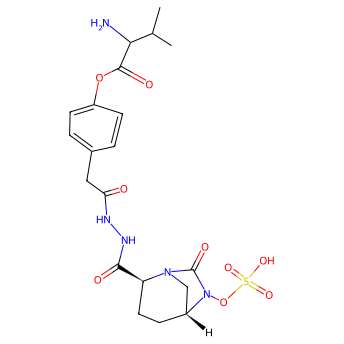 CC(C)C(N)C(=O)Oc1ccc(CC(=O)NNC(=O)[C@@H]2CC[C@@H]3CN2C(=O)N3OS(=O)(=O)O)cc1